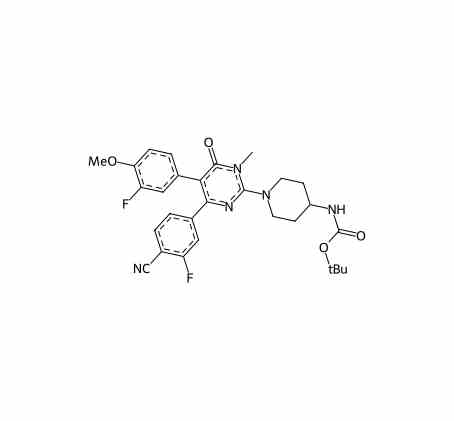 COc1ccc(-c2c(-c3ccc(C#N)c(F)c3)nc(N3CCC(NC(=O)OC(C)(C)C)CC3)n(C)c2=O)cc1F